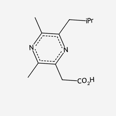 Cc1nc(C)c(CC(C)C)nc1CC(=O)O